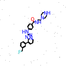 O=C(NCCN1CCNCC1)c1ccc(Nc2nc3c(-c4cccc(CF)c4)cccn3n2)cc1